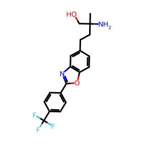 CC(N)(CO)CCc1ccc2oc(-c3ccc(C(F)(F)F)cc3)nc2c1